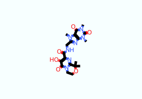 Cn1c(=O)c2c(nc(CNC(=O)c3nc4n(c(=O)c3O)CCOC4(C)C)n2C)n(C)c1=O